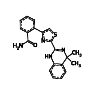 CC1(C)N=C(c2nc(-c3ccccc3C(N)=O)cs2)Nc2ccccc21